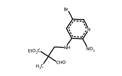 CCOC(=O)C(C)(C=O)CNc1cc(Br)cnc1[N+](=O)[O-]